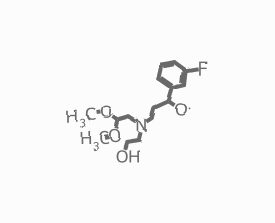 COC(CN(CCO)CCC([O])c1cccc(F)c1)OC